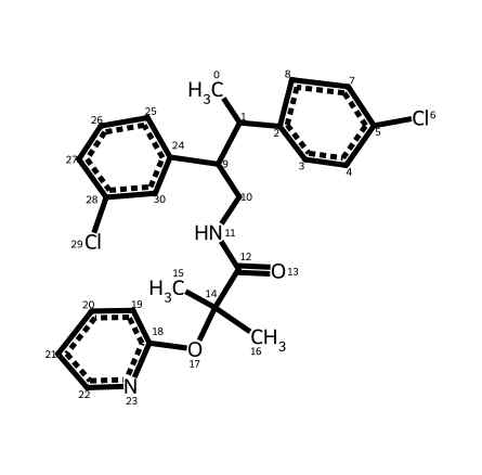 CC(c1ccc(Cl)cc1)C(CNC(=O)C(C)(C)Oc1ccccn1)c1cccc(Cl)c1